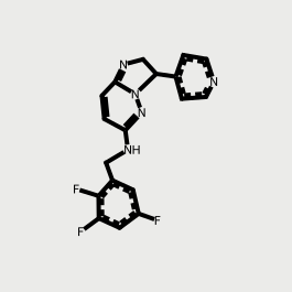 Fc1cc(F)c(F)c(CNC2=NN3C(=NCC3c3ccncc3)C=C2)c1